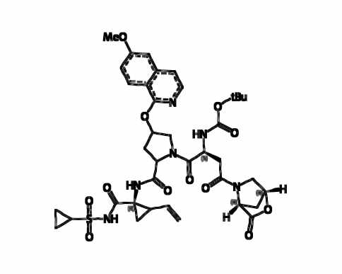 C=CC1C[C@]1(NC(=O)C1CC(Oc2nccc3cc(OC)ccc23)CN1C(=O)[C@H](CC(=O)N1C[C@H]2C[C@@H]1C(=O)O2)NC(=O)OC(C)(C)C)C(=O)NS(=O)(=O)C1CC1